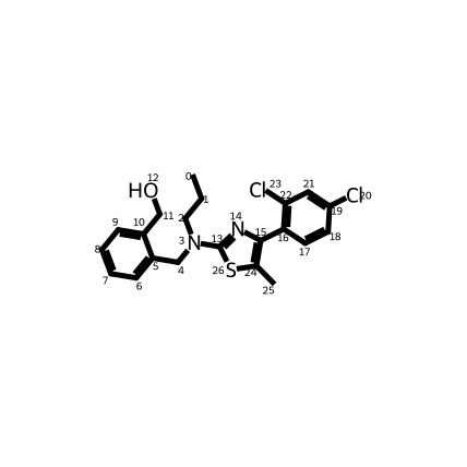 CCCN(Cc1ccccc1CO)c1nc(-c2ccc(Cl)cc2Cl)c(C)s1